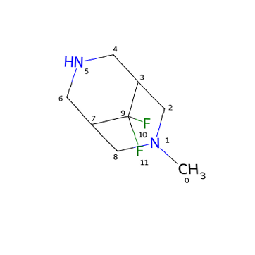 CN1CC2CNCC(C1)C2(F)F